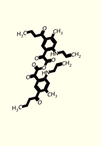 C=CCNc1cc(C)c(C(=O)CCC)cc1C(=O)C(=O)OC(=O)C(=O)c1cc(C(=O)CCC)c(C)cc1NCC=C